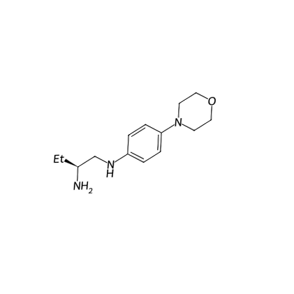 CC[C@H](N)CNc1ccc(N2CCOCC2)cc1